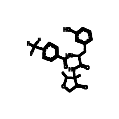 CC1OCC(=O)C1(C)NC(=O)C(Cc1cccc(O)c1)NC(=O)c1ccc(C(F)(F)F)cc1